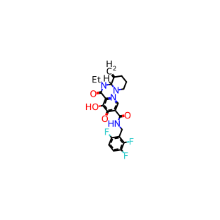 C=C1CCCN2[C@@H]1N(CC)C(=O)c1c(O)c(=O)c(C(=O)NCc3c(F)ccc(F)c3F)cn12